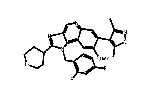 COc1cc2c(cc1-c1c(C)noc1C)ncc1nc(C3CCOCC3)n(Cc3ccc(F)cc3F)c12